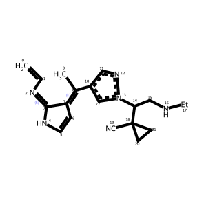 C=C/N=C1/NC=C/C1=C(/C)c1cnn(C(CNCC)C2(C#N)CC2)c1